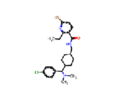 CCc1nc(S)ccc1C(=O)NCC1CCC(C(c2ccc(Cl)cc2)N(C)C)CC1